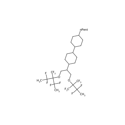 CCCCCC1CCC(C2CCC(C(COC(C(C)(F)F)(C(C)(F)F)C(F)(F)F)COC(C(C)(F)F)(C(F)(F)F)C(F)(F)F)CC2)CC1